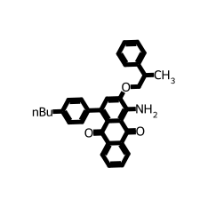 CCCCc1ccc(-c2cc(OCC(C)c3ccccc3)c(N)c3c2C(=O)c2ccccc2C3=O)cc1